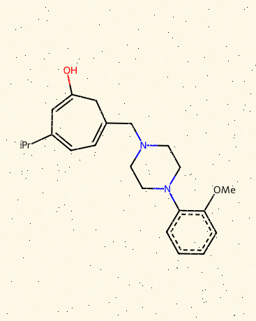 COc1ccccc1N1CCN(CC2=CC=C(C(C)C)C=C(O)C2)CC1